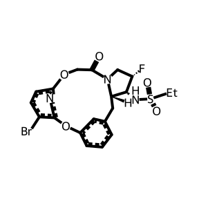 CCS(=O)(=O)N[C@H]1[C@@H](F)CN2C(=O)COc3ccc(Br)c(n3)Oc3cccc(c3)C[C@@H]12